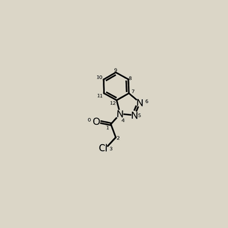 O=C(CCl)n1nnc2ccccc21